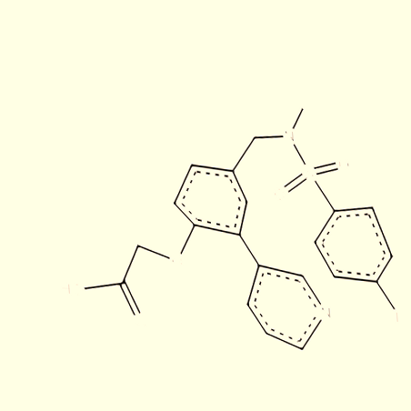 CN(Cc1ccc(OCC(=O)O)c(-c2cccnc2)c1)S(=O)(=O)c1ccc(F)cc1